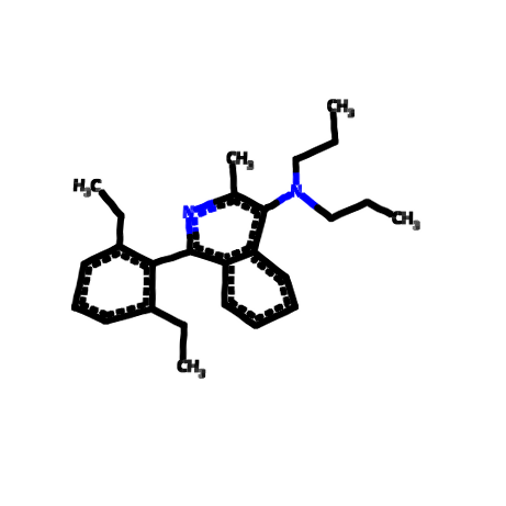 CCCN(CCC)c1c(C)nc(-c2c(CC)cccc2CC)c2ccccc12